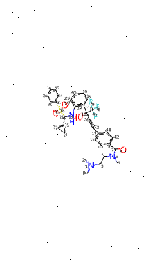 CN(C)CCN(C)C(=O)c1ccc(C#CC(O)(c2ccccc2NC(C2CC2)S(=O)(=O)c2ccccc2)C(F)(F)F)cc1